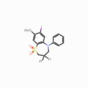 CCC1(C(C)C)CN(c2ccccc2)c2cc(I)c(OC)cc2S(=O)(=O)C1